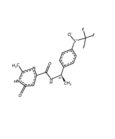 Cc1nc(C(=O)N[C@H](C)c2ccc([S+]([O-])C(F)(F)F)cc2)cc(=O)[nH]1